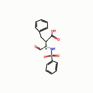 O=[C][C@@H](NS(=O)(=O)c1ccccc1)C(Cc1ccccc1)C(=O)O